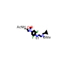 CCN(CCN(CC1CC1)OC)c1c(F)cc(N2C[C@H](CNC(C)=O)OC2=O)cc1F